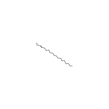 C[C]/C=C/CCCCCCCCCCCCCCC